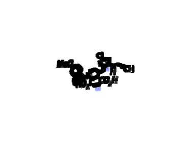 C#CCNC1=NC(=O)S/C1=C\C1CCN(Cc2ccc(OC)cc2C(F)(F)F)CC1.O=C(O)/C=C\C(=O)O